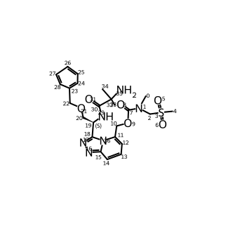 CN(CS(C)(=O)=O)C(=O)OCc1cccc2nnc([C@@H](COCc3ccccc3)NC(=O)C(C)(C)N)n12